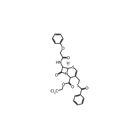 O=C(COc1ccccc1)NC1C(=O)N2C(C(=O)OCC(Cl)(Cl)Cl)C(CSC(=O)c3ccccc3)=CS[C@H]12